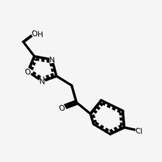 O=C(Cc1noc(CO)n1)c1ccc(Cl)cc1